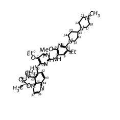 CCOc1cnc(Nc2cc(CC)c(N3CCC(N4CCN(C)CC4)CC3)nc2OC)nc1Nc1ccc2nccnc2c1N(C)S(C)(=O)=O